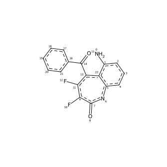 Nc1cccc2nc(=O)c(F)c(F)c(C(=O)c3ccccc3)c12